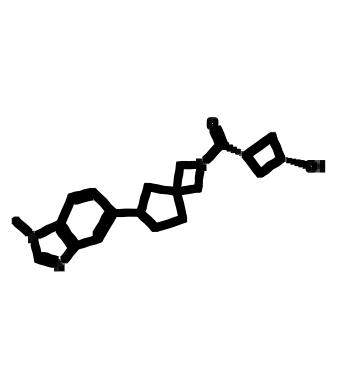 Cn1cnc2cc(C3CCC4(C3)CN(C(=O)[C@H]3C[C@@H](O)C3)C4)ccc21